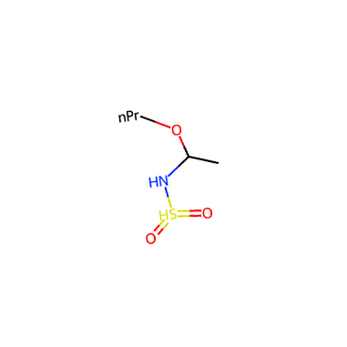 CCCOC(C)N[SH](=O)=O